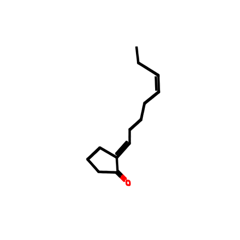 CC/C=C\CCC/C=C1\CCCC1=O